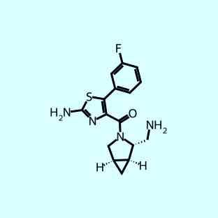 NC[C@@H]1[C@H]2C[C@H]2CN1C(=O)c1nc(N)sc1-c1cccc(F)c1